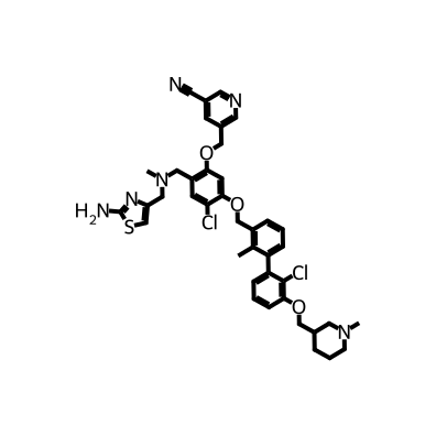 Cc1c(COc2cc(OCc3cncc(C#N)c3)c(CN(C)Cc3csc(N)n3)cc2Cl)cccc1-c1cccc(OCC2CCCN(C)C2)c1Cl